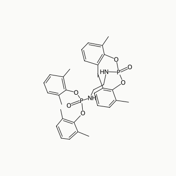 Cc1cccc(C)c1OP(=O)(NCCNP(=O)(Oc1c(C)cccc1C)Oc1c(C)cccc1C)Oc1c(C)cccc1C